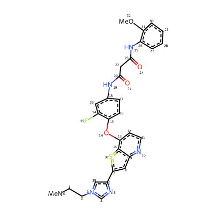 CNCCn1cnc(-c2cc3nccc(Oc4ccc(NC(=O)CC(=O)Nc5ccccc5OC)cc4F)c3s2)c1